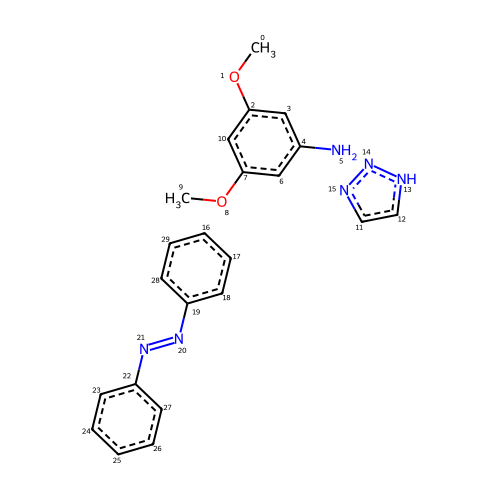 COc1cc(N)cc(OC)c1.c1c[nH]nn1.c1ccc(N=Nc2ccccc2)cc1